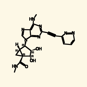 CNC(=O)[C@@]12C[C@@H]1[C@@H](n1cnc3c(NC)nc(C#Cc4cccnn4)nc31)[C@H](O)[C@@H]2O